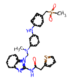 CN(Cn1c(NC(=O)Cc2cccs2)nc2ccccc21)c1cccc(Nc2ccc(CS(C)(=O)=O)cc2)c1